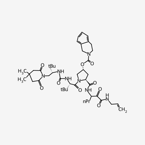 C=CCNC(=O)C(=O)C(CCC)NC(=O)[C@@H]1C[C@@H](OC(=O)N2CCc3ccccc3C2)CN1C(=O)[C@@H](NC(=O)N[C@H](CN1C(=O)CC(C)(C)CC1=O)C(C)(C)C)C(C)(C)C